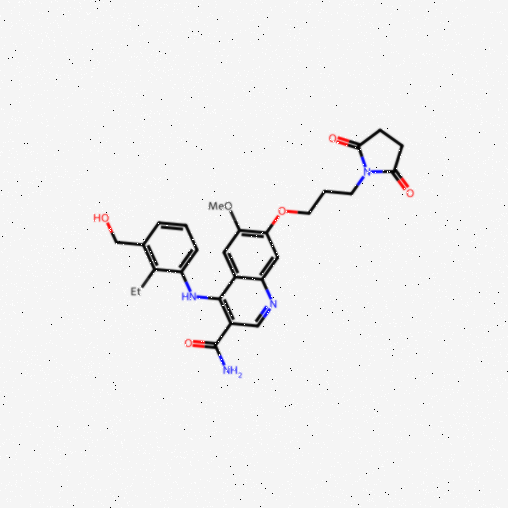 CCc1c(CO)cccc1Nc1c(C(N)=O)cnc2cc(OCCCN3C(=O)CCC3=O)c(OC)cc12